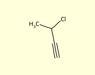 [C]#CC(C)Cl